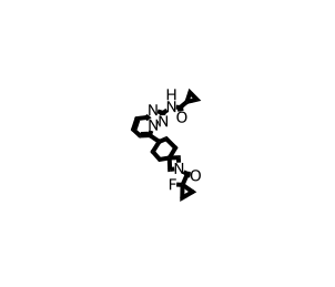 O=C(Nc1nc2cccc(C3CCC4(CC3)CN(C(=O)C3(F)CC3)C4)n2n1)C1CC1